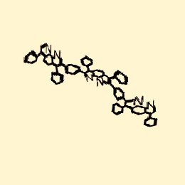 c1ccc(-c2ccnc3c2ccc2c(-c4ccccc4)c(-c4ccc(-c5cnc6c(ccc7c(-c8ccccc8)c(-c8ccc(-c9cnc%10c(ccc%11c(-c%12ccccc%12)ccnc%11%10)c9-c9ccccc9)cc8)cnc76)c5-c5ccccc5)cc4)cnc23)cc1